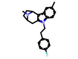 Cc1ccc2c(c1)c1c(n2CCc2ccc(F)cc2)CC2CCC1N2C